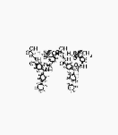 Cc1ccc(NC(=O)NC(c2ccc(C(=O)NCCC(=O)O)cc2)c2ccc(C3=CCCCC3)cc2)cc1S(C)(=O)=O.Cc1ccc(NC(=O)NC(c2ccc(C(=O)NCCC(=O)O)cc2)c2ccc(C3CCCCC3)cc2)cc1S(C)(=O)=O